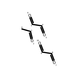 CC=O.O=CC=O.O=CC=O